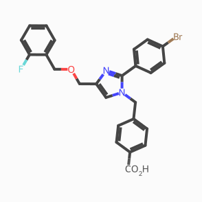 O=C(O)c1ccc(Cn2cc(COCc3ccccc3F)nc2-c2ccc(Br)cc2)cc1